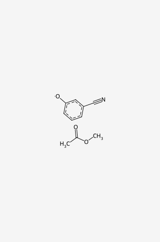 COC(C)=O.N#Cc1cccc([O])c1